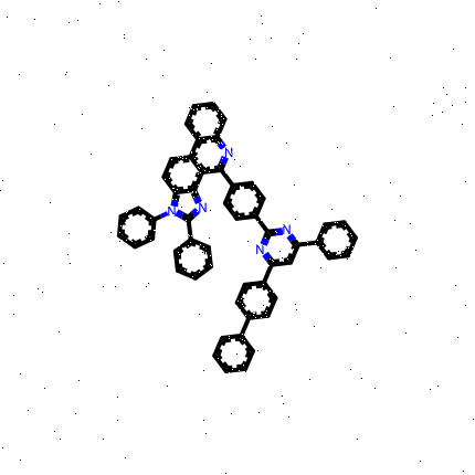 c1ccc(-c2ccc(-c3cc(-c4ccccc4)nc(-c4ccc(-c5nc6ccccc6c6ccc7c(nc(-c8ccccc8)n7-c7ccccc7)c56)cc4)n3)cc2)cc1